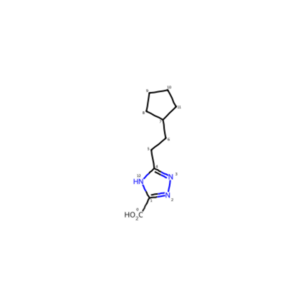 O=C(O)c1nnc(CCC2CCCC2)[nH]1